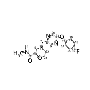 CNC(=O)[C@@H]1CN(Cc2cnc(Oc3ccc(F)cc3)cn2)CCO1